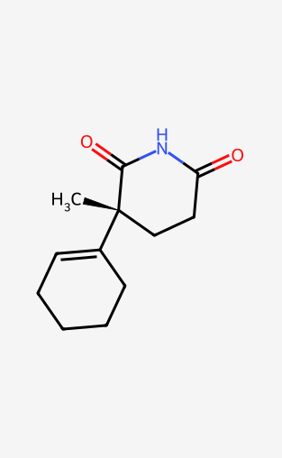 C[C@]1(C2=CCCCC2)CCC(=O)NC1=O